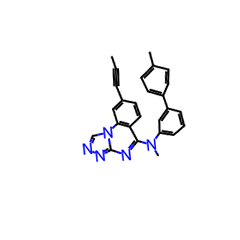 CC#Cc1ccc2c(N(C)c3cccc(-c4ccc(C)cc4)c3)nc3nncn3c2c1